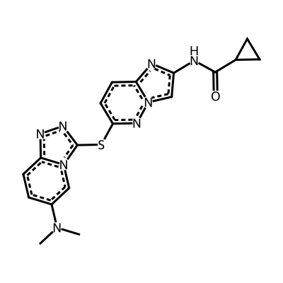 CN(C)c1ccc2nnc(Sc3ccc4nc(NC(=O)C5CC5)cn4n3)n2c1